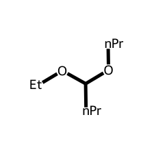 CCCOC(CCC)OCC